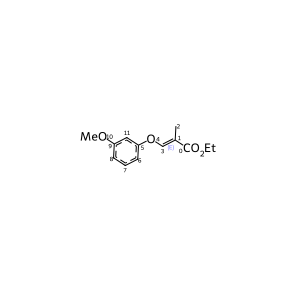 CCOC(=O)/C(C)=C/Oc1cccc(OC)c1